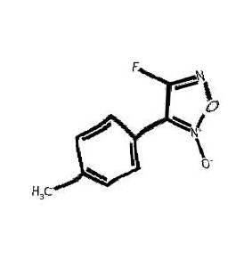 Cc1ccc(-c2c(F)no[n+]2[O-])cc1